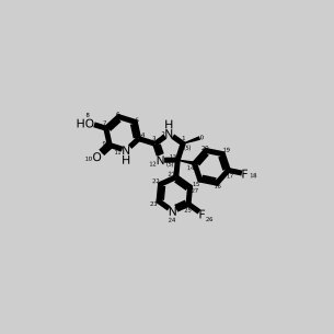 C[C@@H]1NC(c2ccc(O)c(=O)[nH]2)=N[C@@]1(c1ccc(F)cc1)c1ccnc(F)c1